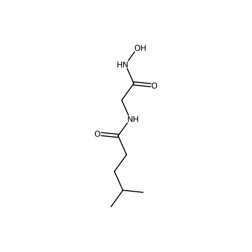 CC(C)CCC(=O)NCC(=O)NO